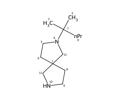 CCCC(C)(C)N1CCC2(CCNC2)C1